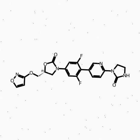 O=C1O[C@@H](COc2ccon2)CN1c1cc(F)c(-c2ccc(N3CCNC3=O)nc2)c(F)c1